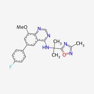 COc1cc(-c2ccc(F)cc2)cc2c(NC(C)(C)c3nc(C)no3)ncnc12